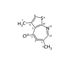 CC1=C=C(Cl)c2c(C)csc2N=C1